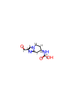 O=Cc1cn2c(n1)CC(NC(=O)O)CC2